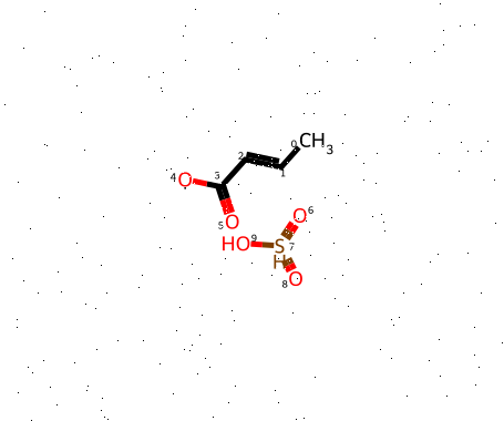 CC=CC([O])=O.O=[SH](=O)O